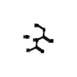 Br.CC(C)SC(=N)NC(=O)C(C)C